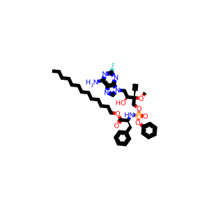 C#C[C@](COP(=O)(N[C@@H](Cc1ccccc1)C(=O)OCCCCCCCCCCCCC)Oc1ccccc1)(OC)[C@@H](O)Cn1cnc2c(N)nc(F)nc21